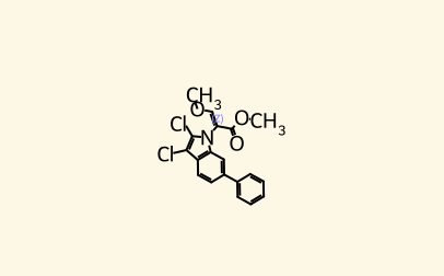 CO/C=C(/C(=O)OC)n1c(Cl)c(Cl)c2ccc(-c3ccccc3)cc21